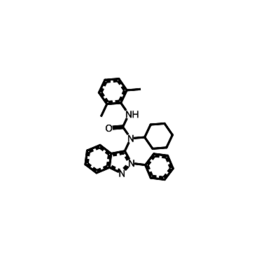 Cc1cccc(C)c1NC(=O)N(c1c2ccccc2nn1-c1ccccc1)C1CCCCC1